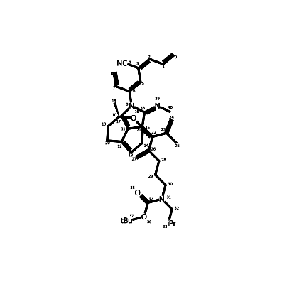 C=C/C=C(C#N)\C=C(/C=C)N1C=C(/C2=C\CCO[C@H](C)CC2)C(=C(/C(=C)C)C(=C)CCCN(CC(C)C)C(=O)OC(C)(C)C)/C1=N\C